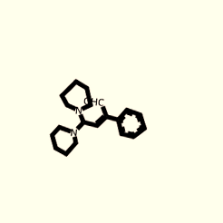 O=CC(=CC(N1CCCCC1)N1CCCCC1)c1ccccc1